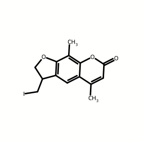 Cc1cc(=O)oc2c(C)c3c(cc12)C(CI)CO3